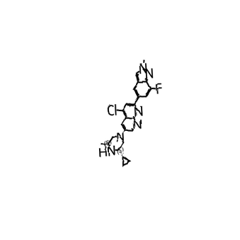 C[C@H]1CN(c2cnc3nc(-c4cc(F)c5nn(C)cc5c4)cc(Cl)c3c2)C[C@H](C2CC2)N1